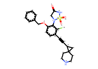 O=C1CN(c2c(OCc3ccccc3)ccc(C#CC3CC34CCNCC4)c2F)S(=O)(=O)N1